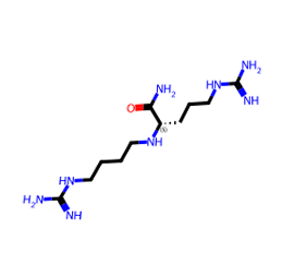 N=C(N)NCCCCN[C@@H](CCCNC(=N)N)C(N)=O